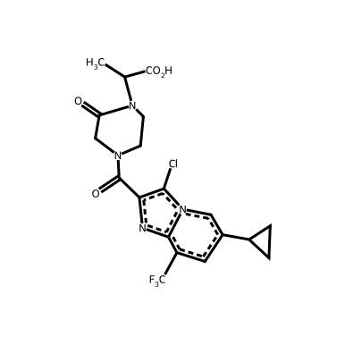 CC(C(=O)O)N1CCN(C(=O)c2nc3c(C(F)(F)F)cc(C4CC4)cn3c2Cl)CC1=O